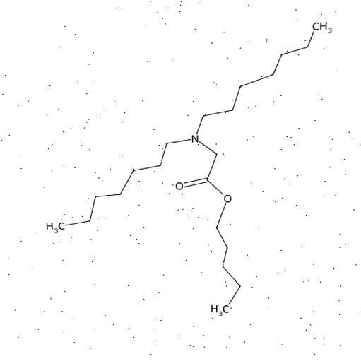 CCCCCCCN(CCCCCCC)CC(=O)OCCCCC